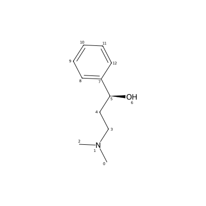 CN(C)CC[C@H](O)c1ccccc1